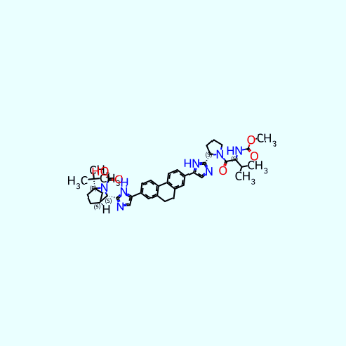 COC(=O)N[C@H](C(=O)N1CCC[C@H]1c1ncc(-c2ccc3c(c2)CCc2cc(-c4cnc([C@@H]5[C@H]6CC[C@](C(C)(C)C)(C6)N5C(=O)O)[nH]4)ccc2-3)[nH]1)C(C)C